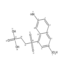 [NH]c1ccc2cc(S(=O)(=O)O)cc(S(=O)(=O)CCP(=O)(O)O)c2c1